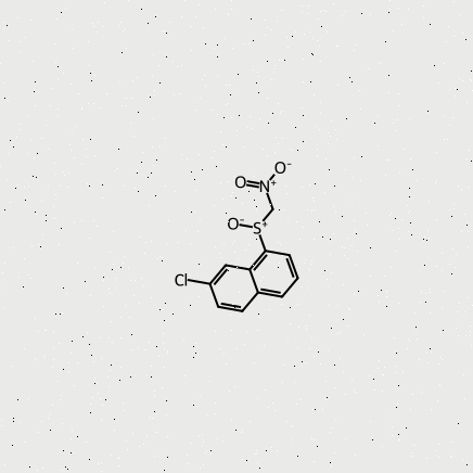 O=[N+]([O-])C[S+]([O-])c1cccc2ccc(Cl)cc12